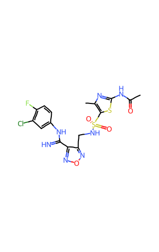 CC(=O)Nc1nc(C)c(S(=O)(=O)NCc2nonc2C(=N)Nc2ccc(F)c(Cl)c2)s1